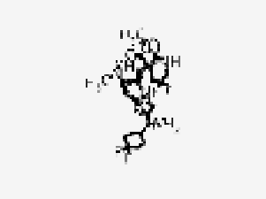 COC(=O)[C@@]1(Cc2nn3cc([C@@H](N)C4CCC(F)(F)CC4)nc3cc2N(C)C)CC(F)(F)CNC1=O